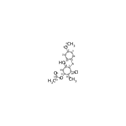 COc1ccc(Cc2c(O)cc(OC(C)=O)c(C)c2Cl)cc1